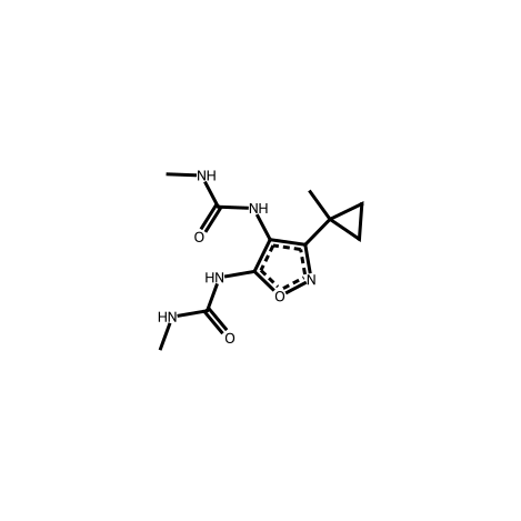 CNC(=O)Nc1onc(C2(C)CC2)c1NC(=O)NC